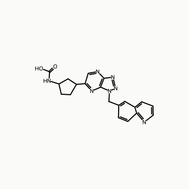 O=C(O)NC1CCC(c2cnc3nnn(Cc4ccc5ncccc5c4)c3n2)C1